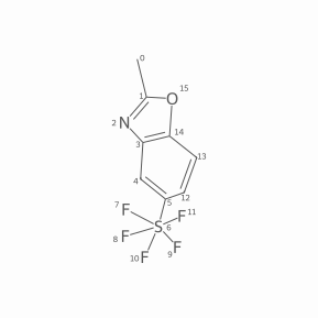 Cc1nc2cc(S(F)(F)(F)(F)F)ccc2o1